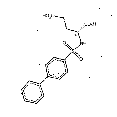 O=C(O)CC[C@@H](NS(=O)(=O)c1ccc(-c2ccccc2)cc1)C(=O)O